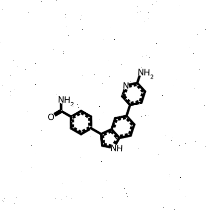 NC(=O)c1ccc(-c2c[nH]c3ccc(-c4ccc(N)nc4)cc23)cc1